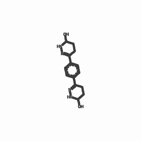 OC1CCC(c2ccc(C3=NNC(O)CC3)cc2)=NN1